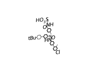 Cc1cc(Cl)ccc1-c1ccc(NC(=O)[C@@H](Cc2ccc(C(=O)NCCS(=O)(=O)O)cc2)c2ccc(C3CCC(C(C)(C)C)CC3)cc2)cc1